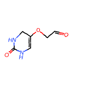 O=CCOC1=CNC(=O)NC1